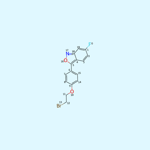 Fc1ccc2c(-c3ccc(OCCBr)cc3)onc2c1